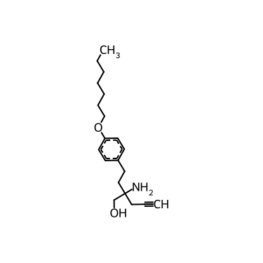 C#CCC(N)(CO)CCc1ccc(OCCCCCCC)cc1